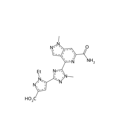 CCn1nc(C(=O)O)cc1-c1nc(-c2nc(C(N)=O)cc3c2cnn3C)n(C)n1